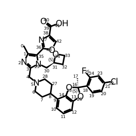 Cc1nc(CN2CCC(c3cccc4c3O[C@@](C)(c3ccc(Cl)cc3F)O4)CC2)n(C[C@@H]2CCO2)c1-c1nc(C(=O)O)co1